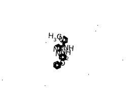 CN1CCCC(C(=N)c2ccnc(N)c2Nc2ccc(Oc3ccccc3)cc2)C1